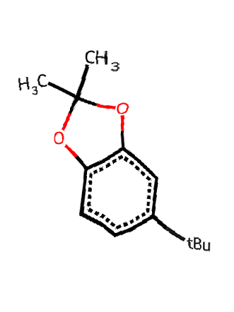 CC1(C)Oc2ccc(C(C)(C)C)cc2O1